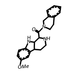 COc1ccc2c(c1)C1CCNC(C(=O)N3CCc4ccccc4C3)C1N2